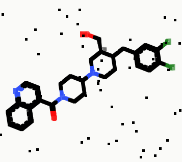 O=C(c1ccnc2ccccc12)N1CCC(N2CCC(Cc3ccc(Cl)c(Cl)c3)[C@H](CO)C2)CC1